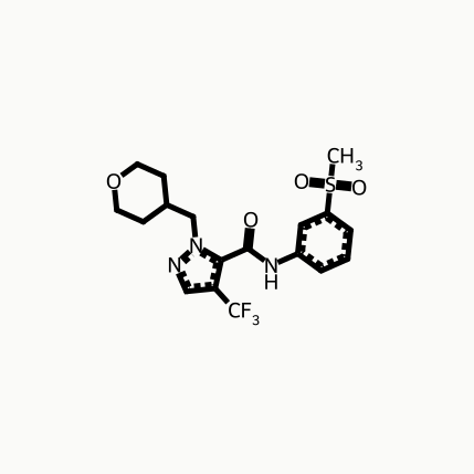 CS(=O)(=O)c1cccc(NC(=O)c2c(C(F)(F)F)cnn2CC2CCOCC2)c1